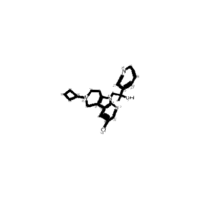 CC(O)(Cn1c2c(c3cc(Cl)cnc31)CN(C1CCC1)CC2)c1cccnc1